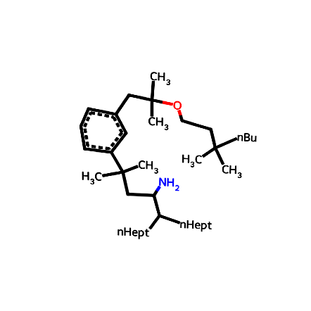 CCCCCCCC(CCCCCCC)C(N)CC(C)(C)c1cccc(CC(C)(C)OCCC(C)(C)CCCC)c1